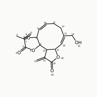 C=C(C)C(=O)OC1C(O)C=CCCC(CO)=CC2OC(=O)C(=C)C21